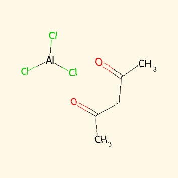 CC(=O)CC(C)=O.[Cl][Al]([Cl])[Cl]